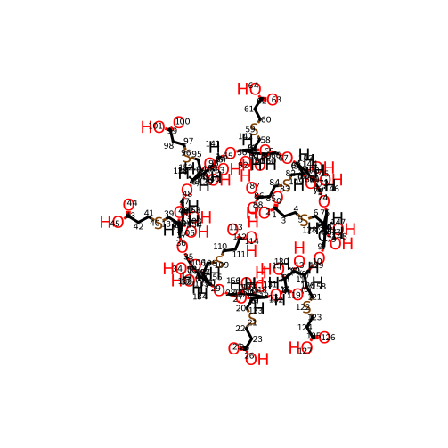 O=C(O)CCSC[C@H]1CC2O[C@H]3[C@H](O)[C@@H](O)[C@@H](OC4[C@@H](CSCCC(=O)O)OC(O[C@H]5[C@H](O)[C@@H](O)C(OC6[C@@H](CSCCC(=O)O)OC(O[C@H]7[C@H](O)[C@@H](O)[C@@H](OC8[C@@H](CSCCC(=O)O)OC(O[C@H]9[C@H](O)[C@@H](O)[C@@H](OC1[C@H](O)[C@H]2O)O[C@@H]9CSCCC(=O)O)[C@H](O)[C@H]8O)O[C@@H]7CSCCC(=O)O)[C@H](O)[C@H]6O)O[C@@H]5CSCCC(=O)O)[C@H](O)[C@H]4O)O[C@@H]3CSCCC(=O)O